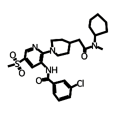 CN(C(=O)CC1CCN(c2ncc(S(C)(=O)=O)cc2NC(=O)c2cccc(Cl)c2)CC1)C1CCCCC1